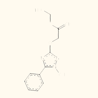 C=C(COc1nc(-c2ccccc2)n(C)n1)OCC